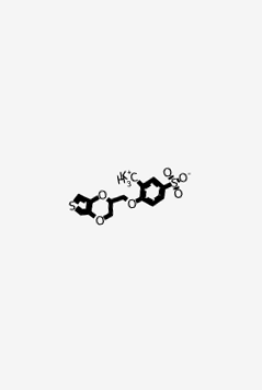 Cc1cc(S(=O)(=O)[O-])ccc1OCC1COc2cscc2O1.[K+]